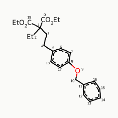 CCOC(=O)C(CC)(CCc1ccc(OCc2ccccc2)cc1)C(=O)OCC